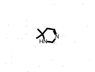 CC1(C)CC=N[C]N1